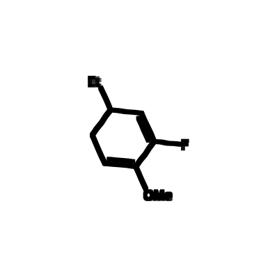 CCC1C=C(F)C(OC)=CC1